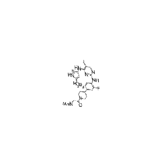 CNCC(=O)N1CCC(c2cc(F)c(Nc3ncc(I)c(Nc4cc(C)[nH]n4)n3)cc2C)CC1